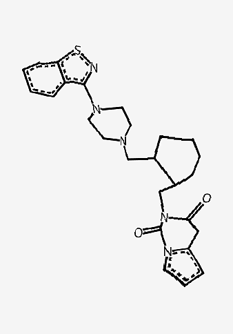 O=C1Cc2cccn2C(=O)N1CC1CCCCC1CN1CCN(c2nsc3ccccc23)CC1